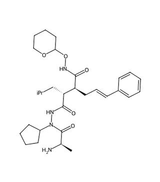 CC(C)C[C@@H](C(=O)NN(C(=O)[C@@H](C)N)C1CCCC1)[C@H](CC=Cc1ccccc1)C(=O)NOC1CCCCO1